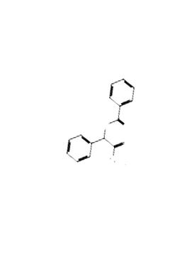 NC(=O)C(OC(=O)c1ccccc1)c1ccccc1